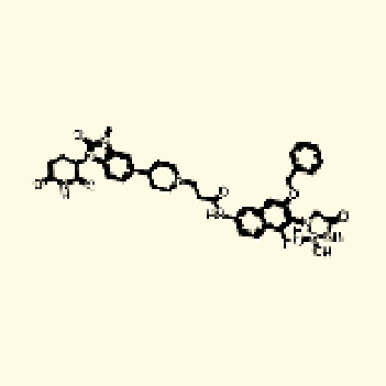 Cn1c(=O)n(C2CCC(=O)NC2=O)c2ccc(C3CCN(CCC(=O)Nc4ccc5c(F)c(N6CC(=O)NS6(O)O)c(OCc6ccccc6)cc5c4)CC3)cc21